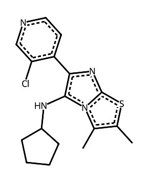 Cc1sc2nc(-c3ccncc3Cl)c(NC3CCCC3)n2c1C